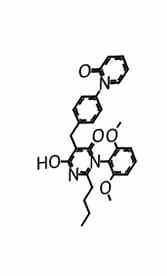 CCCCc1nc(O)c(Cc2ccc(-n3ccccc3=O)cc2)c(=O)n1-c1c(OC)cccc1OC